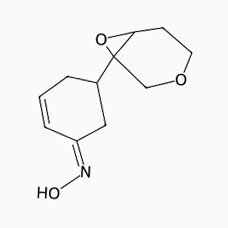 ON=C1C=CCC(C23COCCC2O3)C1